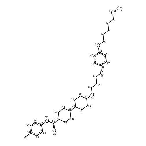 [CH2+][CH-]CCCCCOc1ccc(OCCCOC2CCC(C3CCC(C(=O)Oc4ccc(C)cc4)CC3)CC2)cc1